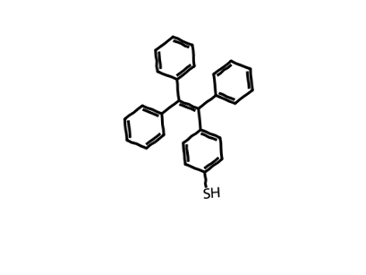 Sc1ccc(C(=C(c2ccccc2)c2ccccc2)c2ccccc2)cc1